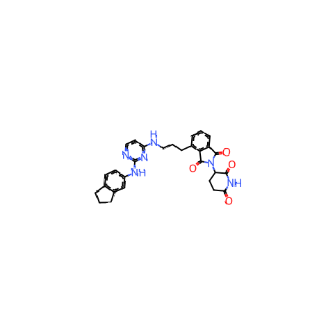 O=C1CCC(N2C(=O)c3cccc(CCCNc4ccnc(Nc5ccc6c(c5)CCC6)n4)c3C2=O)C(=O)N1